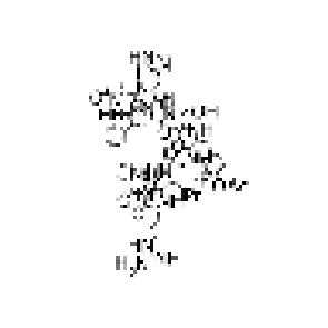 CCN1CCC[C@H]1C(=O)NC(=O)[C@H](CCCNC(=N)N)NC(=O)[C@H](CC(C)C)NC(=O)[C@@H](CC(C)C)NC(=O)[C@H](Cc1ccc(OC(C)=O)cc1)NC(=O)[C@H](CO)NC(=O)[C@H](Cc1c[nH]c2ccccc12)NC(=O)[C@H](Cc1c[nH]cn1)NC(=O)[C@@H]1CCC(=O)N1